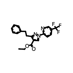 CCOC(=O)c1cn(-c2ccc(C(F)(F)F)cn2)nc1CCc1ccccc1